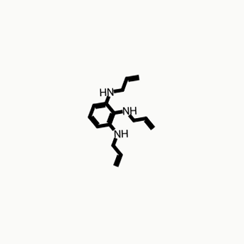 C=CCNc1cccc(NCC=C)c1NCC=C